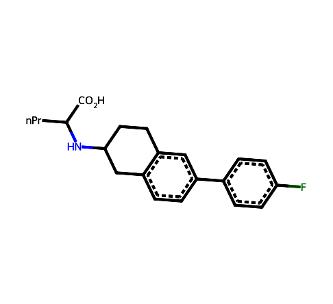 CCCC(NC1CCc2cc(-c3ccc(F)cc3)ccc2C1)C(=O)O